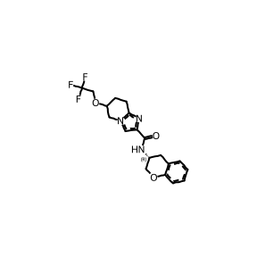 O=C(N[C@H]1COc2ccccc2C1)c1cn2c(n1)CCC(OCC(F)(F)F)C2